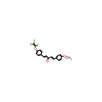 COc1ccc(/C=C/C(=O)/C=C/c2ccc(OC(F)=C(F)F)cc2)cc1